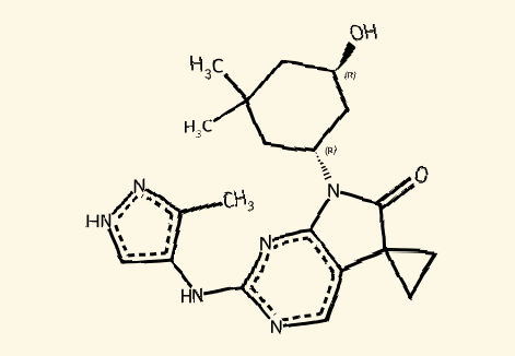 Cc1n[nH]cc1Nc1ncc2c(n1)N([C@H]1C[C@H](O)CC(C)(C)C1)C(=O)C21CC1